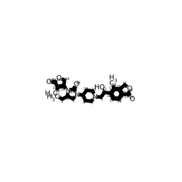 CCC1CN(C2CCN(C[C@H](O)c3ccc4c(c3C)COC4=O)CC2)C(=O)N1C1=C(C)C(=O)OC1